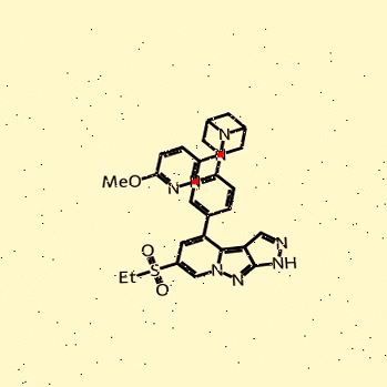 CCS(=O)(=O)c1cc(-c2ccc(N3CC4CC(C3)N4Cc3ccc(OC)nc3)nc2)c2c3cn[nH]c3nn2c1